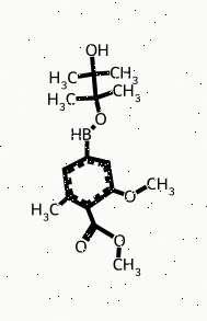 COC(=O)c1c(C)cc(BOC(C)(C)C(C)(C)O)cc1OC